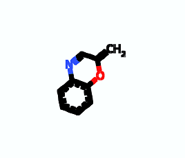 C=C1C=Nc2ccccc2O1